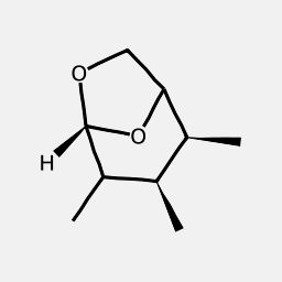 CC1[C@@H]2OCC(O2)[C@@H](C)[C@H]1C